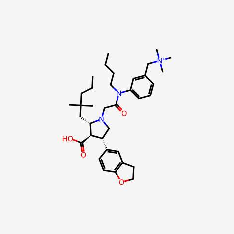 CCCCN(C(=O)CN1C[C@H](c2ccc3c(c2)CCO3)[C@@H](C(=O)O)[C@@H]1CC(C)(C)CCC)c1cccc(C[N+](C)(C)C)c1